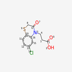 O=C(O)CCN1C(=O)CSc2ccc(Cl)cc21